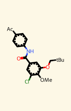 COc1c(Cl)cc(C(=O)Nc2ccc(C(C)=O)cc2)cc1OCC(C)(C)C